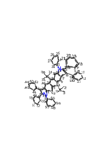 CC(C)(C)c1c2cc3c(-c4ccccc4)c(-c4ccccc4)n(-c4ccccc4)c3cc2c(C(C)(C)C)c2cc3c(-c4ccccc4)c(-c4ccccc4)n(-c4ccccc4)c3cc12